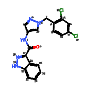 O=C(Nc1cnn(Cc2ccc(Cl)cc2Cl)c1)c1n[nH]c2ccccc12